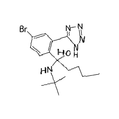 CCCCC(O)(NC(C)(C)C)c1ccc(Br)cc1-c1nnn[nH]1